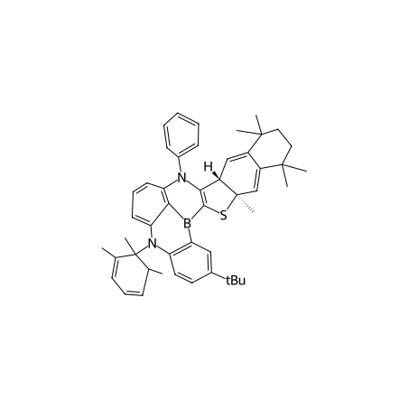 CC1=CC=CC(C)C1(C)N1c2ccc(C(C)(C)C)cc2B2C3=C([C@@H]4C=C5C(=C[C@@]4(C)S3)C(C)(C)CCC5(C)C)N(c3ccccc3)c3cccc1c32